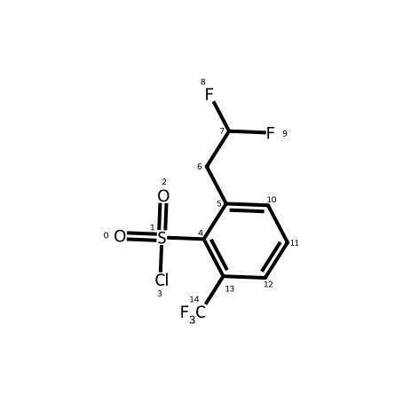 O=S(=O)(Cl)c1c(CC(F)F)cccc1C(F)(F)F